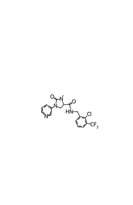 CN1C(=O)N(c2cccnc2)CC1C(=O)NCc1cccc(C(F)(F)F)c1Cl